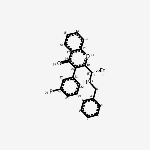 CC[C@H](NCc1ccccc1)c1oc2ccccc2c(=O)c1-c1cccc(F)c1